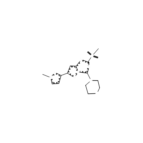 Cn1ccc(-c2cc3nc(S(C)(=O)=O)nc(N4CCOCC4)n3n2)n1